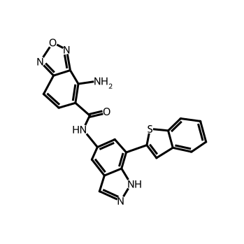 Nc1c(C(=O)Nc2cc(-c3cc4ccccc4s3)c3[nH]ncc3c2)ccc2nonc12